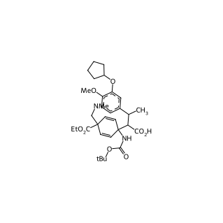 CCOC(=O)C1(CNC)C=CC(NC(=O)OC(C)(C)C)(C(C(=O)O)C(C)c2ccc(OC)c(OC3CCCC3)c2)C=C1